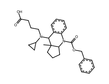 CC12CCCC1N(C(=O)OCc1ccccc1)c1ccccc1C2N(CCCC(=O)O)C1CC1